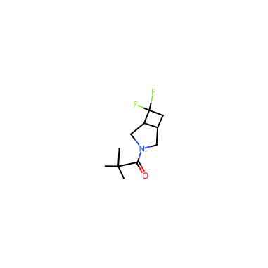 CC(C)(C)C(=O)N1CC2CC(F)(F)C2C1